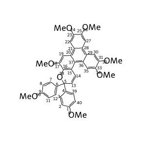 COc1ccc(C2(c3ccc(OC)cc3)C=Cc3c(c(OC)cc4c5cc(OC)c(OC)cc5c5cc(OC)c(OC)cc5c34)O2)cc1